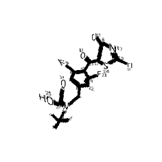 CC(C)(C)N(Cc1cc(F)c(C(=O)c2sc(Cl)nc2Cl)c(F)c1)C(=O)O